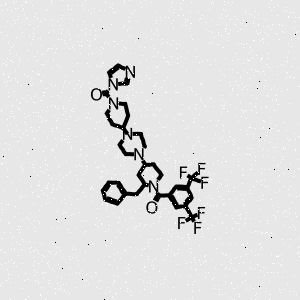 O=C(c1cc(C(F)(F)F)cc(C(F)(F)F)c1)N1CCC(N2CCN(C3CCN(C(=O)n4ccnc4)CC3)CC2)CC1Cc1ccccc1